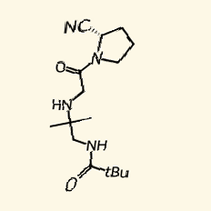 CC(C)(CNC(=O)C(C)(C)C)NCC(=O)N1CCC[C@H]1C#N